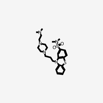 CN(C)CCN1CCN(CCCN2c3ccccc3Sc3ccc(S(=O)(=O)N(C)C)cc32)CC1